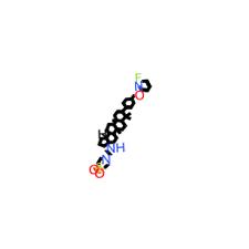 CC1(C)C(C2=CCC(COc3cccc(F)n3)CC2)=CCC2(C)C1CCC1(C)C3CCC4(NCCN5CCS(=O)(=O)CC5)CCC[C@@H]4C3CCC12